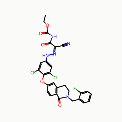 CCOC(=O)NC(=O)C(C#N)=NNc1cc(Cl)c(Oc2ccc3c(c2)CCN(Cc2ccccc2F)C3=O)c(Cl)c1